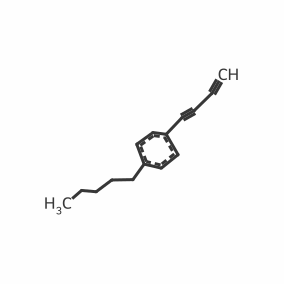 C#CC#Cc1ccc(CCCCC)cc1